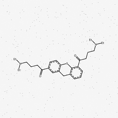 CCN(CC)CCCC(=O)c1ccc2c(c1)Cc1cccc(C(=O)CCCN(CC)CC)c1S2